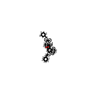 O=C(OCc1ccccc1)N1CC[C@@]23CCCC[C@@H]2[C@@H]1Cc1c3cc(OCc2ccccc2)c2c1OCCO2